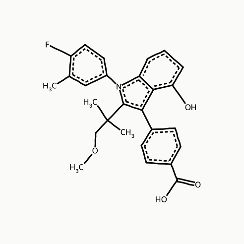 COCC(C)(C)c1c(-c2ccc(C(=O)O)cc2)c2c(O)cccc2n1-c1ccc(F)c(C)c1